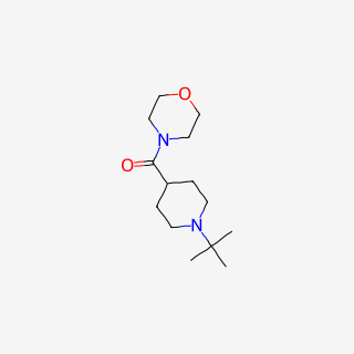 CC(C)(C)N1CCC(C(=O)N2CCOCC2)CC1